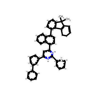 CC1(C)C2=C(CCC=C2)c2c(-c3ccc(-c4cc(-c5cccc(-c6ccccc6)c5)nc(-c5ccccc5)n4)c4ccccc34)cccc21